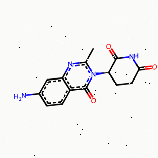 Cc1nc2cc(N)ccc2c(=O)n1[C@@H]1CCC(=O)NC1=O